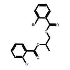 CC(COC(=O)c1ccccc1Br)OC(=O)c1ccccc1Br